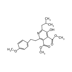 COC(=O)c1c(CCc2ccc(OC)cc2)nc(CC(C)C)c(O)c1C(=O)OC